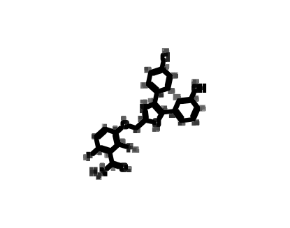 NC(=O)c1c(F)ccc(OCc2nc(-c3ccc(Cl)cc3)c(-c3cccc(O)c3)o2)c1F